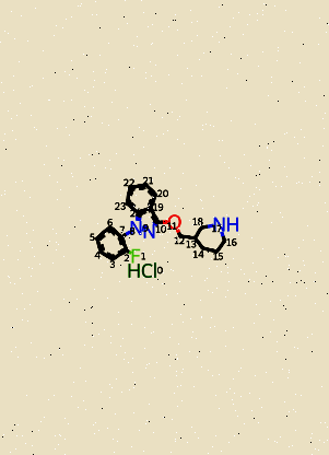 Cl.Fc1ccccc1-n1nc(OCC2CCCNC2)c2ccccc21